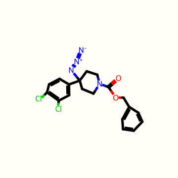 [N-]=[N+]=NC1(c2ccc(Cl)c(Cl)c2)CCN(C(=O)OCc2ccccc2)CC1